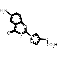 Nc1ccc2nc(-n3cc(OC(=O)O)cn3)[nH]c(=O)c2c1